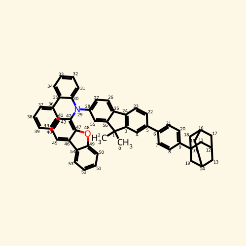 CC1(C)c2cc(-c3ccc(C45CC6CC(CC(C6)C4)C5)cc3)ccc2-c2ccc(N(c3ccccc3-c3ccccc3)c3cccc4c3oc3ccccc34)cc21